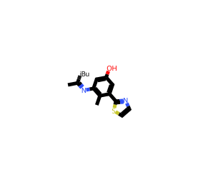 CCC(C)/C(C)=N\c1cc(O)cc(-c2nccs2)c1C